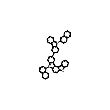 c1ccc2cc(-n3c4ccccc4c4cc(-c5ccc6c(c5)c5c7c(ccc5n6-c5cccc6ccccc56)oc5ccccc57)ccc43)ccc2c1